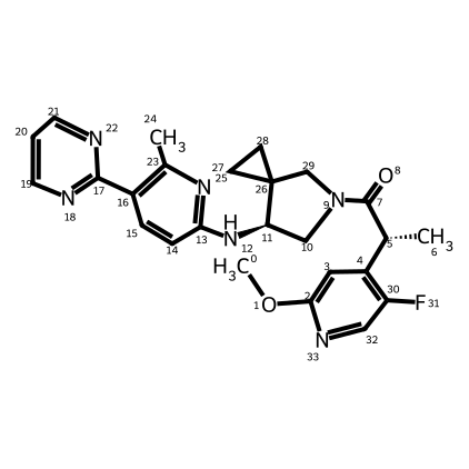 COc1cc([C@@H](C)C(=O)N2C[C@@H](Nc3ccc(-c4ncccn4)c(C)n3)C3(CC3)C2)c(F)cn1